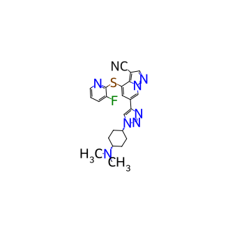 CN(C)[C@H]1CC[C@@H](n2cc(-c3cc(Sc4ncccc4F)c4c(C#N)cnn4c3)nn2)CC1